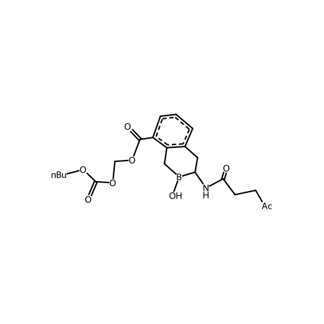 CCCCOC(=O)OCOC(=O)c1cccc2c1CB(O)C(NC(=O)CCC(C)=O)C2